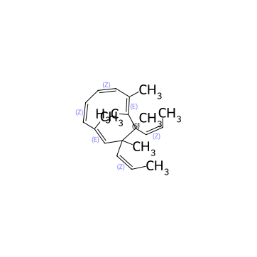 C/C=C\C1(C)/C=C(C)/C=C\C=C/C(C)=C(\C)[C@@]1(C)/C=C\C